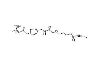 CCCNC(=O)OCCCOCC(=O)NCc1ccc(CC(=O)/C=C(/C)NC)cc1